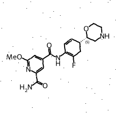 COc1cc(C(=O)NC2=C(F)CC([C@H]3CNCCO3)C=C2)cc(C(N)=O)n1